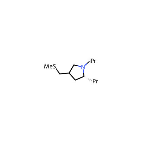 CSCC1C[C@@H](C(C)C)N(C(C)C)C1